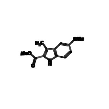 COC(=O)c1[nH]c2ccc(OC)cc2c1C